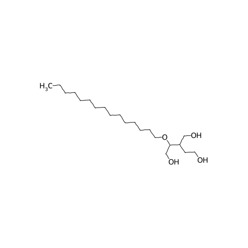 CCCCCCCCCCCCCCCOC(CO)C(CO)CCO